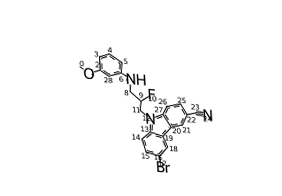 COc1cccc(NCC(F)Cn2c3ccc(Br)cc3c3cc(C#N)ccc32)c1